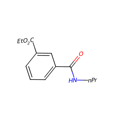 CCCNC(=O)c1cccc(C(=O)OCC)c1